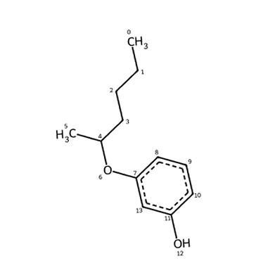 CCCCC(C)Oc1cccc(O)c1